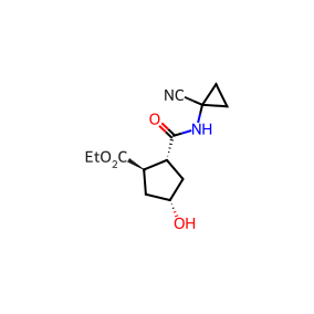 CCOC(=O)[C@@H]1C[C@@H](O)C[C@H]1C(=O)NC1(C#N)CC1